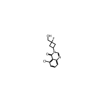 O=c1c2c(Cl)cccc2ncn1C1CC(F)(CO)C1